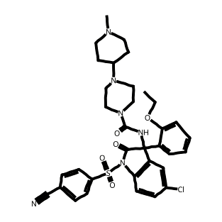 CCOc1ccccc1C1(NC(=O)N2CCN(C3CCN(C)CC3)CC2)C(=O)N(S(=O)(=O)c2ccc(C#N)cc2)c2ccc(Cl)cc21